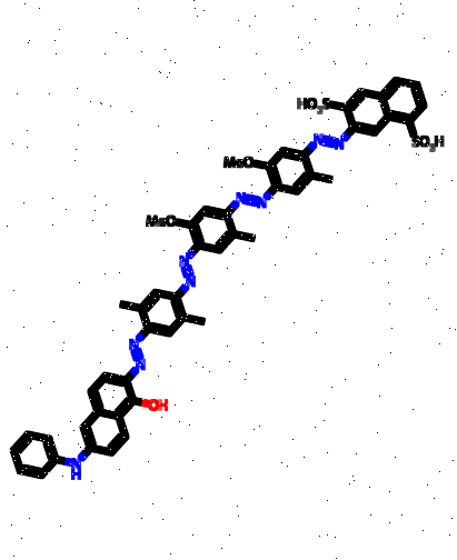 COc1cc(N=Nc2cc(C)c(N=Nc3cc4c(S(=O)(=O)O)cccc4cc3S(=O)(=O)O)cc2OC)c(C)cc1N=Nc1cc(C)c(N=Nc2ccc3cc(Nc4ccccc4)ccc3c2O)cc1C